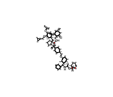 O=C(N[C@@H](c1ccccc1)c1cccc(OCc2ccc(S(=O)(=O)N3CCC[C@@]3(C(=O)O)[C@@H](Cc3c(Cl)c[n+]([O-])cc3Cl)c3ccc(OC(F)F)c(OCC4CC4)c3)cc2)c1)O[C@H]1CN2CCC1CC2